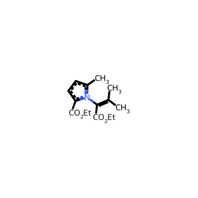 CCOC(=O)C(=C(C)C)n1c(C)ccc1C(=O)OCC